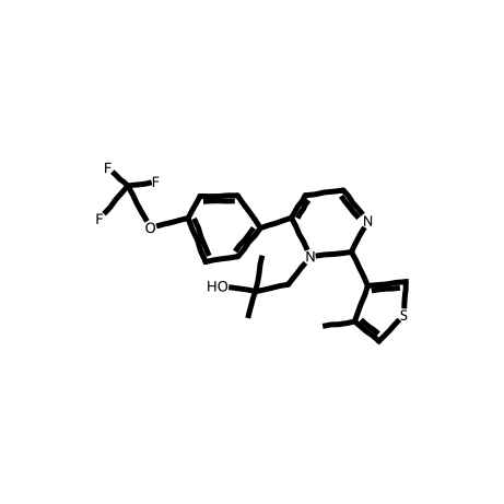 Cc1cscc1C1N=CC=C(c2ccc(OC(F)(F)F)cc2)N1CC(C)(C)O